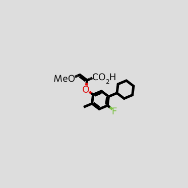 CO/C=C(\Oc1cc(C2CCCCC2)c(F)cc1C)C(=O)O